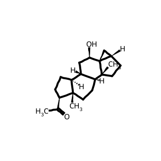 CC(=O)[C@H]1CC[C@H]2[C@@H]3C[C@@H](O)[C@]45C[C@@H]4CC[C@]5(C)[C@H]3CC[C@]12C